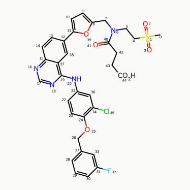 CS(=O)(=O)CCN(Cc1ccc(-c2ccc3ncnc(Nc4ccc(OCc5cccc(F)c5)c(Cl)c4)c3c2)o1)C(=O)CCC(=O)O